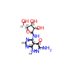 Cn1nc(N)c(=O)c2c(N[C@H]3O[C@H](CO)C(O)C3O)ncnc21